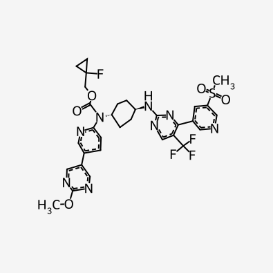 COc1ncc(-c2ccc(N(C(=O)OCC3(F)CC3)[C@H]3CC[C@H](Nc4ncc(C(F)(F)F)c(-c5cncc(S(C)(=O)=O)c5)n4)CC3)nc2)cn1